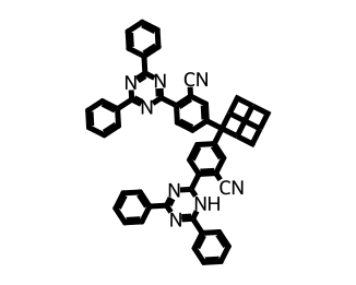 N#Cc1cc(C2(c3ccc(C4N=C(c5ccccc5)N=C(c5ccccc5)N4)c(C#N)c3)C3CC4CC5CC2C453)ccc1-c1nc(-c2ccccc2)nc(-c2ccccc2)n1